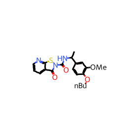 CCCCOc1ccc(C(C)NC(=O)n2sc3ncccc3c2=O)cc1OC